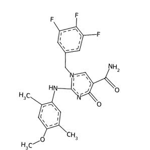 COc1cc(C)c(Nc2nc(=O)c(C(N)=O)cn2Cc2cc(F)c(F)c(F)c2)cc1C